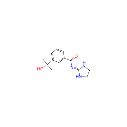 CC(C)(O)c1cccc(C(=O)N=C2NCCN2)c1